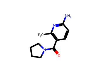 Nc1ccc(C(=O)N2CCCC2)c(C(F)(F)F)n1